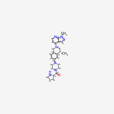 C[C@H]1CN(c2ccnc3c2cnn3C)Cc2ccc(N3CCN(C(=O)C4CCCN4)CC3)cc21